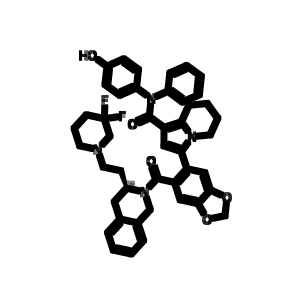 O=C(c1cc(-c2cc3c(cc2C(=O)N2Cc4ccccc4C[C@H]2CCN2CCCC(F)(F)C2)OCO3)n2c1CCCC2)N(c1ccccc1)c1ccc(O)cc1